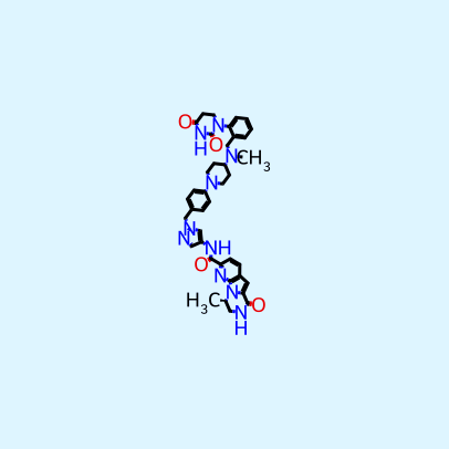 C[C@@H]1CNC(=O)c2cc3ccc(C(=O)Nc4cnn(Cc5ccc(N6CCC(N(C)Cc7ccccc7N7CCC(=O)NC7=O)CC6)cc5)c4)nc3n21